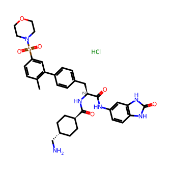 Cc1ccc(S(=O)(=O)N2CCOCC2)cc1-c1ccc(C[C@H](NC(=O)[C@H]2CC[C@H](CN)CC2)C(=O)Nc2ccc3[nH]c(=O)[nH]c3c2)cc1.Cl